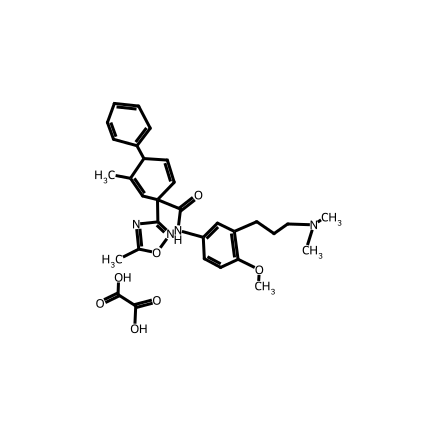 COc1ccc(NC(=O)C2(c3noc(C)n3)C=CC(c3ccccc3)C(C)=C2)cc1CCCN(C)C.O=C(O)C(=O)O